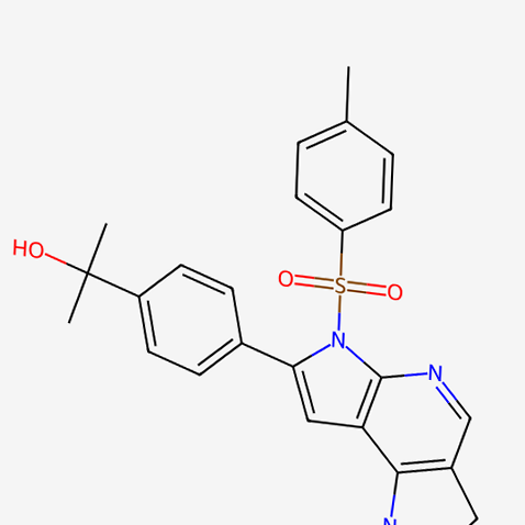 Cc1ccc(S(=O)(=O)n2c(-c3ccc(C(C)(C)O)cc3)cc3c4c(cnc32)CCN4C)cc1